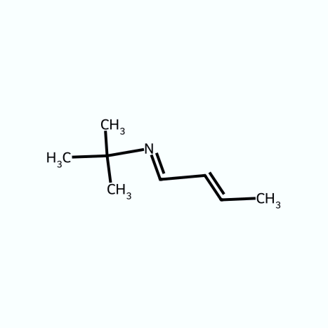 C/C=C/C=N/C(C)(C)C